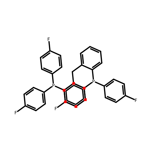 Fc1ccc(P(c2ccc(F)cc2)c2ccccc2Cc2ccccc2P(c2ccc(F)cc2)c2ccc(F)cc2)cc1